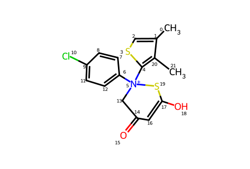 Cc1csc([N+]2(c3ccc(Cl)cc3)CC(=O)C=C(O)S2)c1C